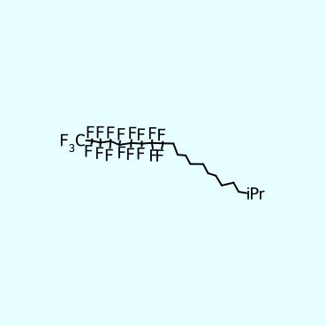 CC(C)CCCCCCCCCCC(F)(F)C(F)(F)C(F)(F)C(F)(F)C(F)(F)C(F)(F)C(F)(F)C(F)(F)C(F)(F)F